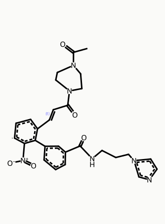 CC(=O)N1CCN(C(=O)/C=C/c2cc[c]c([N+](=O)[O-])c2-c2cccc(C(=O)NCCCn3ccnc3)c2)CC1